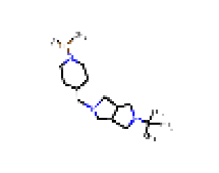 C[SH](C)N1CCC(CN2CC3CN(C(C)(C)C)CC3C2)CC1